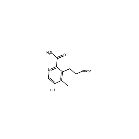 CCCCCCCCCc1c(C)ccnc1C(N)=O.Cl